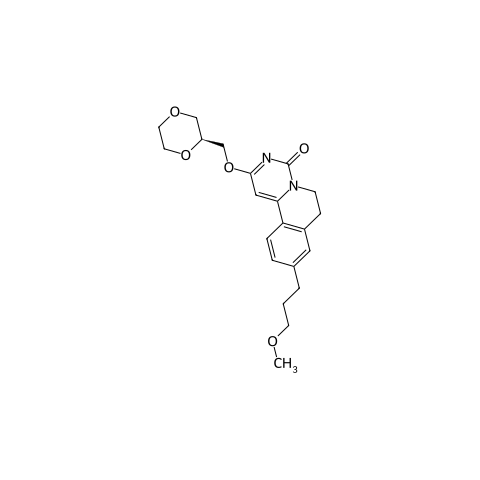 COCCCc1ccc2c(c1)CCn1c-2cc(OC[C@@H]2COCCO2)nc1=O